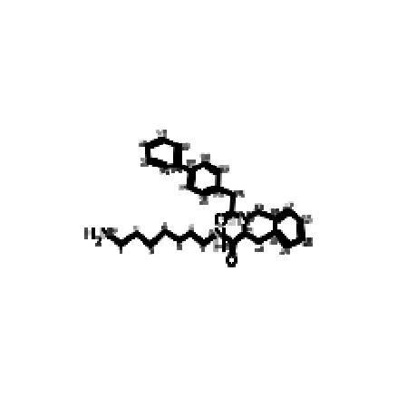 NCCCCCCCNC(=O)C1Cc2ccccc2CN1C(=O)Cc1ccc(-c2ccccc2)cc1